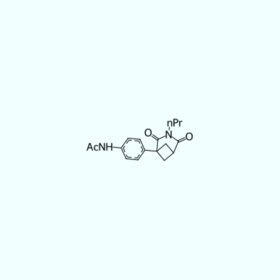 CCCN1C(=O)C2CC(c3ccc(NC(C)=O)cc3)(C2)C1=O